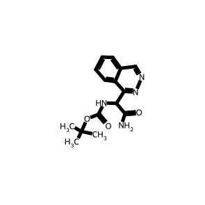 CC(C)(C)OC(=O)NC(C(N)=O)c1nncc2ccccc12